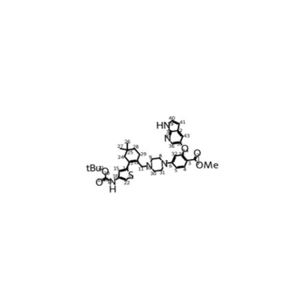 COC(=O)c1ccc(N2CCN(CC3=C(c4cc(NC(=O)OC(C)(C)C)cs4)CC(C)(C)CC3)CC2)cc1Oc1cnc2[nH]ccc2c1